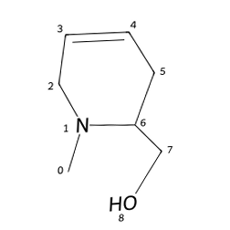 CN1CC=CCC1CO